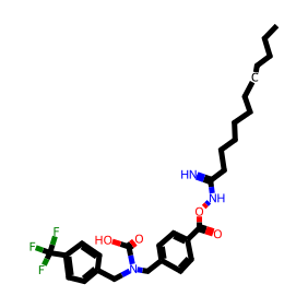 CCCCCCCCCCCC(=N)NOC(=O)c1ccc(CN(Cc2ccc(C(F)(F)F)cc2)C(=O)O)cc1